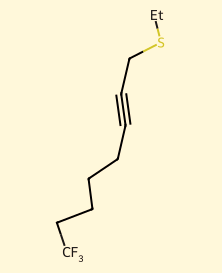 [CH2]CSCC#CCCCCC(F)(F)F